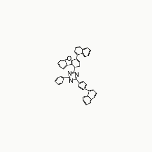 C1=C(c2cccc3ccccc23)c2oc3ccccc3c2C(c2nc(-c3ccccc3)nc(-c3ccc(-c4cccc5ccccc45)cc3)n2)C1